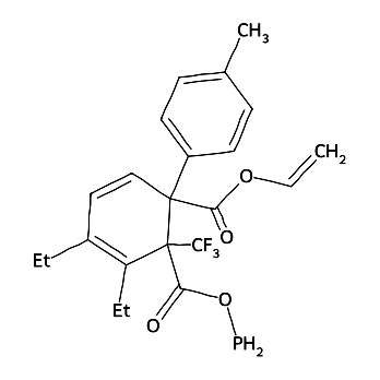 C=COC(=O)C1(c2ccc(C)cc2)C=CC(CC)=C(CC)C1(C(=O)OP)C(F)(F)F